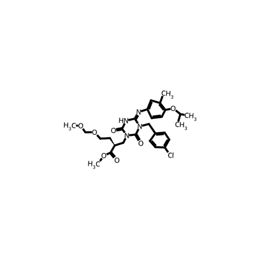 COCOCC[C@@H](Cn1c(=O)[nH]c(=Nc2ccc(OC(C)C)c(C)c2)n(Cc2ccc(Cl)cc2)c1=O)C(=O)OC